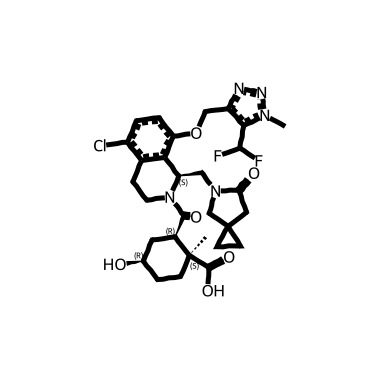 Cn1nnc(COc2ccc(Cl)c3c2[C@@H](CN2CC4(CC4)CC2=O)N(C(=O)[C@@H]2C[C@H](O)CC[C@]2(C)C(=O)O)CC3)c1C(F)F